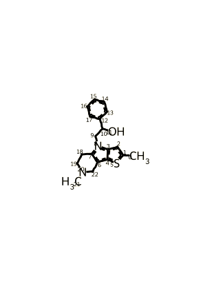 Cc1cc2c(s1)c1c(n2CC(O)c2ccccc2)CCN(C)C1